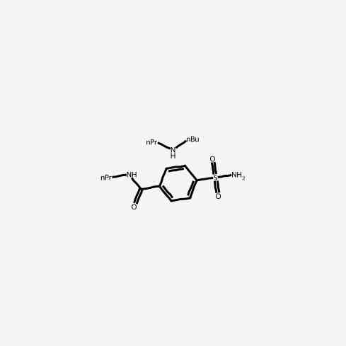 CCCCNCCC.CCCNC(=O)c1ccc(S(N)(=O)=O)cc1